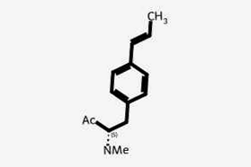 CC=Cc1ccc(C[C@H](NC)C(C)=O)cc1